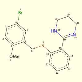 COc1ccc(Br)cc1CSc1ccccc1C1=NCCCN1